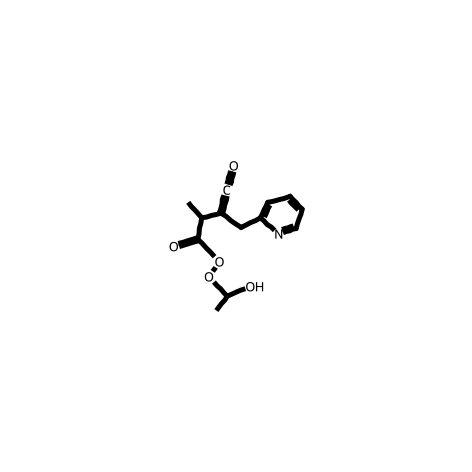 CC(O)OOC(=O)C(C)C(=C=O)Cc1ccccn1